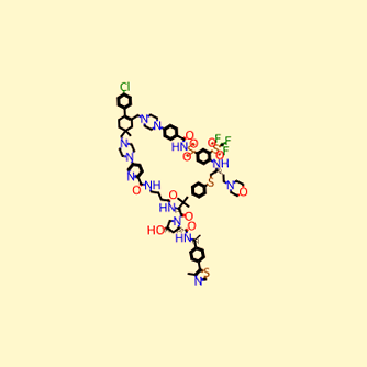 Cc1ncsc1-c1ccc([C@H](C)NC(=O)[C@@H]2C[C@@H](O)CN2C(=O)[C@@H](NC(=O)CCCNC(=O)c2ccc(N3CCN(CC4(C)CCC(c5ccc(Cl)cc5)=C(CN5CCN(c6ccc(C(=O)NS(=O)(=O)c7ccc(N[C@H](CCN8CCOCC8)CSc8ccccc8)c(S(=O)(=O)C(F)(F)F)c7)cc6)CC5)C4)CC3)cn2)C(C)(C)C)cc1